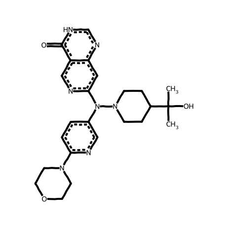 CC(C)(O)C1CCN(N(c2ccc(N3CCOCC3)nc2)c2cc3nc[nH]c(=O)c3cn2)CC1